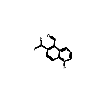 O=Cc1c(C(F)F)ccc2c(Br)cccc12